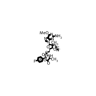 COC(=O)[C@H](C)NP(=O)(OC[C@H]1O[C@@H](n2cnc3c(OC)nc(N)nc32)[C@](C)(N=[N+]=[N-])[C@@H]1O)Oc1ccc(F)cc1